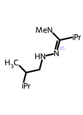 CN/C(=N\NCC(C)C(C)C)C(C)C